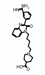 N=C(N)c1cccc(-c2nc3ccccc3n(CCCCCN3CCC(C(=O)O)CC3)c2=O)c1